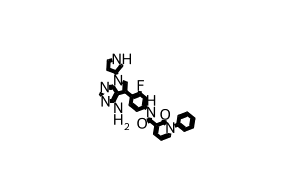 Nc1ncnc2c1c(-c1ccc(NC(=O)c3cccn(-c4ccccc4)c3=O)cc1F)cn2C1CCNC1